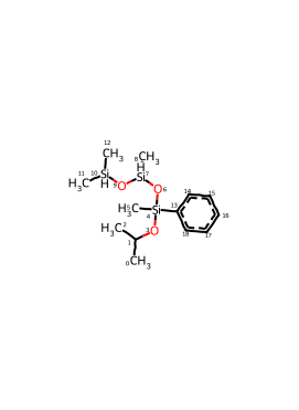 CC(C)O[Si](C)(O[SiH](C)O[SiH](C)C)c1ccccc1